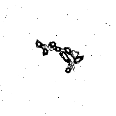 c1ccc2c(c1)nc1n(-c3cccc4oc5ccc(-c6ccc7oc8c(-n9c%10ccccc%10c%10ccccc%109)cccc8c7c6)cc5c34)c3ccccc3n21